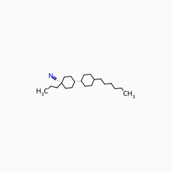 CCCCCCC1CCC([C@H]2CC[C@](C#N)(CCC)CC2)CC1